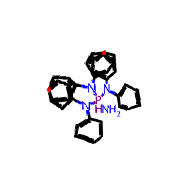 N[PH](N(c1ccccc1)c1ccccc1)(N(c1ccccc1)c1ccccc1)N(c1ccccc1)c1ccccc1